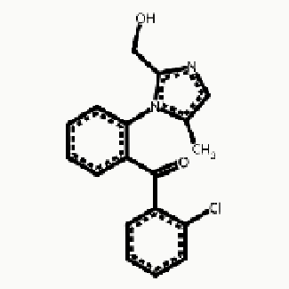 Cc1cnc(CO)n1-c1ccccc1C(=O)c1ccccc1Cl